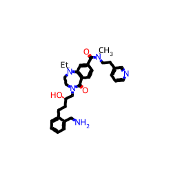 CCN1CCN(C[C@@H](O)CCc2ccccc2CN)C(=O)c2ccc(C(=O)N(C)CCc3cccnc3)cc21